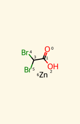 O=C(O)C(Br)Br.[Zn]